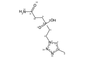 Cc1cn(CCP(=O)(O)CCC(N)=O)nn1